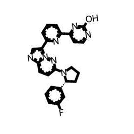 Oc1nccc(-c2cccc(-c3cnc4ccc(N5CCC[C@@H]5c5cccc(F)c5)nn34)n2)n1